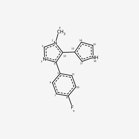 Cn1cnc(-c2ccc(F)cc2)c1-c1cc[nH]c1